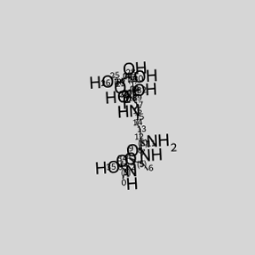 C[C@H](NC(=O)[C@H](C)NC(=O)[C@@H](N)CCCCNCC(F)(F)[C@]1(O)O[C@H](CO)[C@H](O)[C@H](O)[C@H]1O)C(=O)O